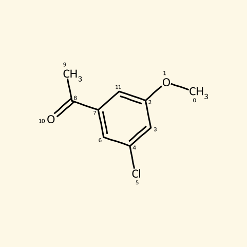 COc1cc(Cl)cc(C(C)=O)c1